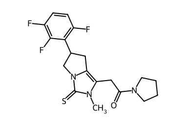 Cn1c(CC(=O)N2CCCC2)c2n(c1=S)CC(c1c(F)ccc(F)c1F)C2